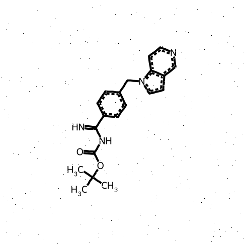 CC(C)(C)OC(=O)NC(=N)c1ccc(Cn2ccc3cnccc32)cc1